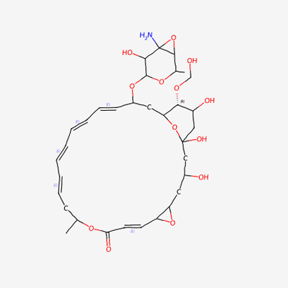 CC1C/C=C/C=C/C=C/C=C/C(OC2OC(C)C3OC3(N)C2O)CC2OC(O)(CC(O)CC3OC3/C=C/C(=O)O1)CC(O)[C@H]2OCO